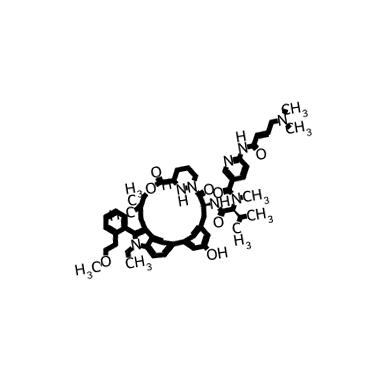 CCn1c(-c2ccccc2CCOC)c2c3cc(ccc31)-c1cc(O)cc(c1)C[C@H](NC(=O)[C@H](C(C)C)N(C)C(=O)c1ccc(NC(=O)/C=C/CN(C)C)nc1)C(=O)N1CCC[C@H](N1)C(=O)OCC(C)(C)C2